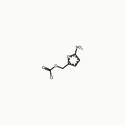 O=C(Cl)OCc1ccc([N+](=O)[O-])o1